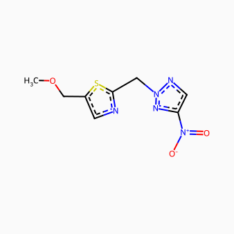 COCc1cnc(Cn2ncc([N+](=O)[O-])n2)s1